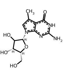 Cc1cn([C@@H]2O[C@H](CO)[C@H](O)C2O)c2nc(N)[nH]c(=O)c12